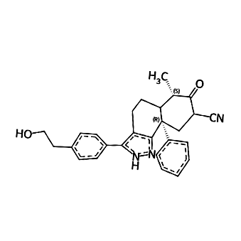 C[C@@H]1C(=O)C(C#N)C[C@@]2(c3ccccc3)c3n[nH]c(-c4ccc(CCO)cc4)c3CCC12